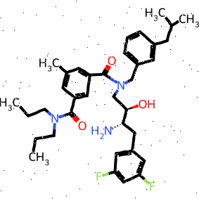 CCCN(CCC)C(=O)c1cc(C)cc(C(=O)N(Cc2cccc(CC(C)C)c2)C[C@@H](O)[C@@H](N)Cc2cc(F)cc(F)c2)c1